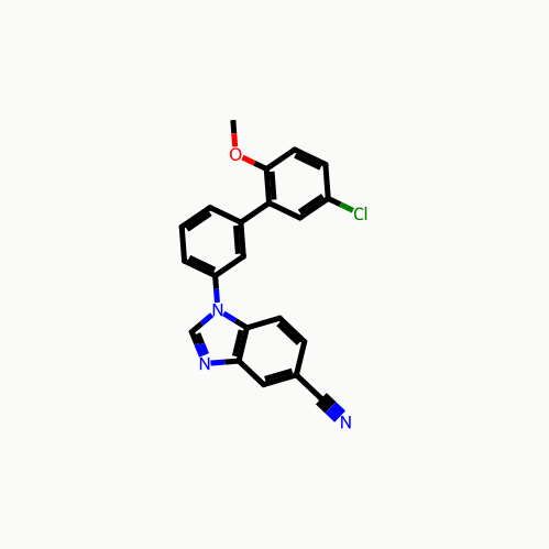 COc1ccc(Cl)cc1-c1cccc(-n2cnc3cc(C#N)ccc32)c1